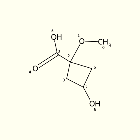 COC1(C(=O)O)CC(O)C1